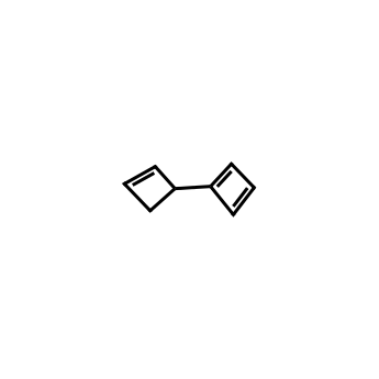 C1=CC(C2C=CC2)=C1